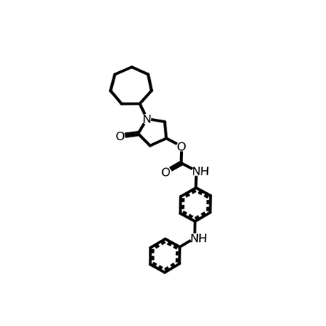 O=C(Nc1ccc(Nc2ccccc2)cc1)OC1CC(=O)N(C2CCCCCC2)C1